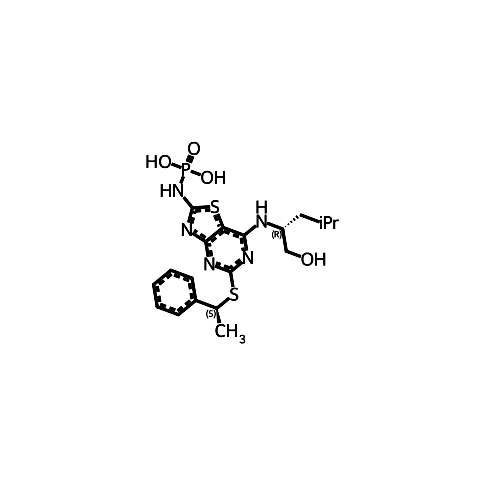 CC(C)C[C@H](CO)Nc1nc(S[C@@H](C)c2ccccc2)nc2nc(NP(=O)(O)O)sc12